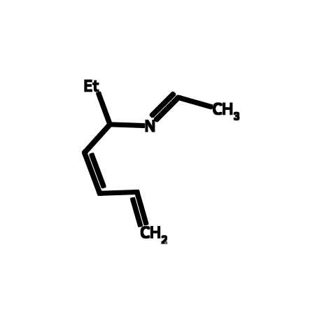 C=C/C=C\C(CC)/N=C/C